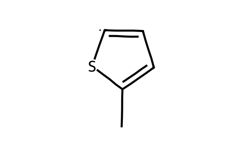 Cc1cc[c]s1